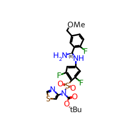 COCc1ccc(F)c([C@H](N)Nc2cc(F)c(S(=O)(=O)N(C(=O)OC(C)(C)C)c3cscn3)c(F)c2)c1